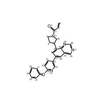 C=CC(=O)N1CCC(c2cc(-c3ccc(Oc4ccccc4)nc3)cc3cncnc23)C1